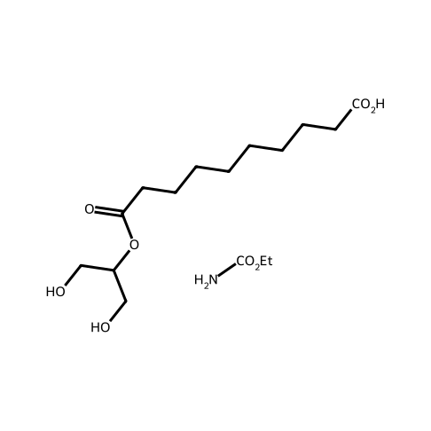 CCOC(N)=O.O=C(O)CCCCCCCCC(=O)OC(CO)CO